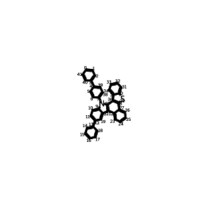 c1ccc(-c2ccc(-n3c4ccc(-c5ccccc5)cc4c4c5ccccc5c5sc6ccccc6c5c43)cc2)cc1